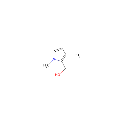 Cc1ccn(C)c1CO